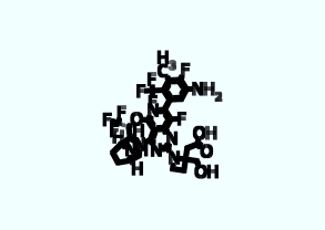 Cc1c(F)c(N)cc(-c2nc3c4c(nc(N5CCC5(CO)CC(=O)O)nc4c2F)N2C[C@H]4CC[C@H](N4)[C@H]2[C@H](C(F)(F)F)O3)c1C(F)(F)F